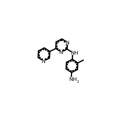 Cc1cc(N)ccc1Nc1nccc(-c2cccnc2)n1